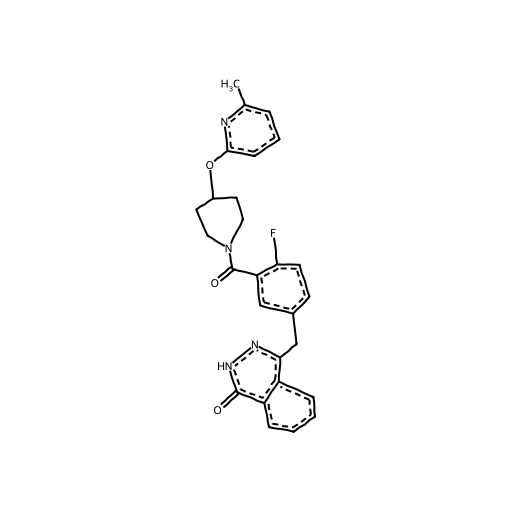 Cc1cccc(OC2CCN(C(=O)c3cc(Cc4n[nH]c(=O)c5ccccc45)ccc3F)CC2)n1